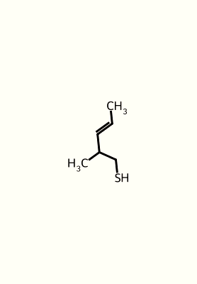 CC=CC(C)CS